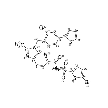 Cc1nc2ccc(C(=O)NS(=O)(=O)c3ccc(Br)s3)nc2n1Cc1ccc(-c2cccs2)cc1Cl